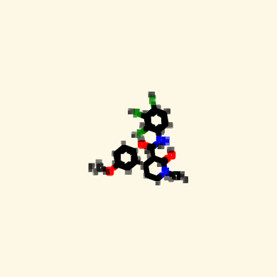 CN1CC[C@H](c2cccc(OC(F)(F)F)c2)[C@@H](C(=O)Nc2ccc(F)c(F)c2F)C1=O